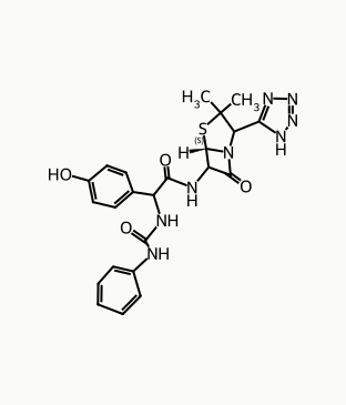 CC1(C)S[C@H]2C(NC(=O)C(NC(=O)Nc3ccccc3)c3ccc(O)cc3)C(=O)N2C1c1nnn[nH]1